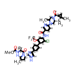 COC(=O)N[C@H](C(=O)N1C[C@@H](C)C[C@H]1c1nc(-c2ccc(-c3cc(Cl)c(NC(=O)c4ccc(N5CCN(C(=O)[C@H]6CC6(C)C)CC5C)nc4)cc3OC(F)(F)F)cc2)c[nH]1)C(C)C